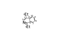 CCc1cnc(CC)c2ccccc12